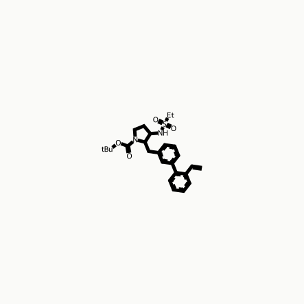 C=Cc1ccccc1-c1cccc(CC2C(NS(=O)(=O)CC)CCN2C(=O)OC(C)(C)C)c1